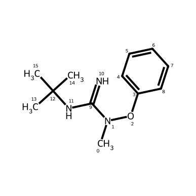 CN(Oc1ccccc1)C(=N)NC(C)(C)C